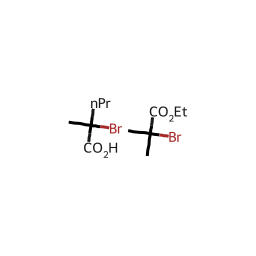 CCCC(C)(Br)C(=O)O.CCOC(=O)C(C)(C)Br